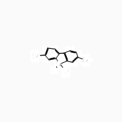 Cl[Si]1(Cl)c2cc(Br)ccc2-c2ccc(Br)cc21